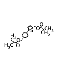 C=C(C)C(=O)OCc1ccc(-c2ccc(COC(=O)C(=C)C)s2)cc1